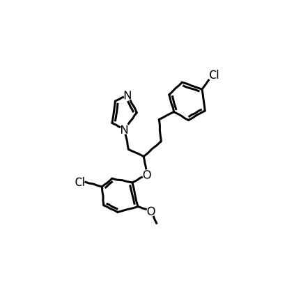 COc1ccc(Cl)cc1OC(CCc1ccc(Cl)cc1)Cn1ccnc1